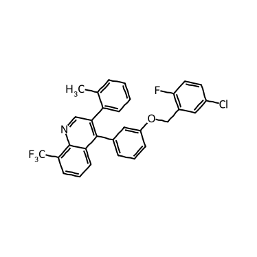 Cc1ccccc1-c1cnc2c(C(F)(F)F)cccc2c1-c1cccc(OCc2cc(Cl)ccc2F)c1